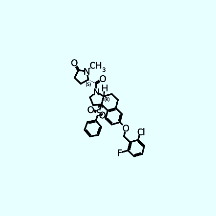 CN1C(=O)CC[C@H]1C(=O)N1CC[C@@]2(S(=O)(=O)c3ccccc3)c3ccc(OCc4c(F)cccc4Cl)cc3CC[C@@H]12